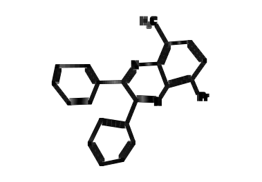 Cc1ccc(C(C)C)c2nc(-c3ccccc3)c(-c3ccccc3)nc12